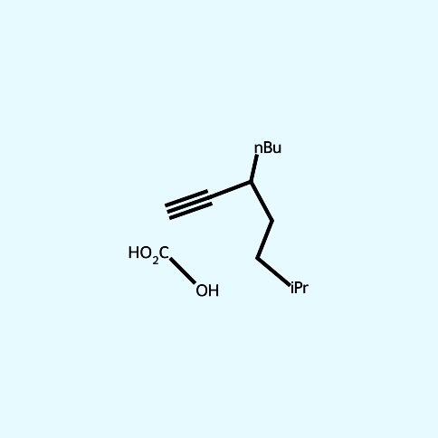 C#CC(CCCC)CCC(C)C.O=C(O)O